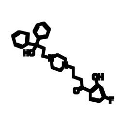 O=C(CCCN1CCN(CCC(O)(c2ccccc2)c2ccccc2)CC1)c1ccc(F)cc1O